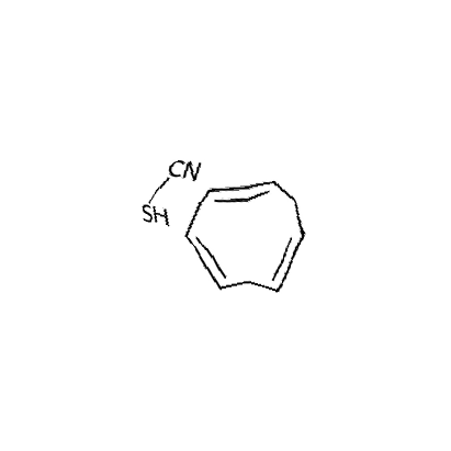 N#CS.c1ccccc1